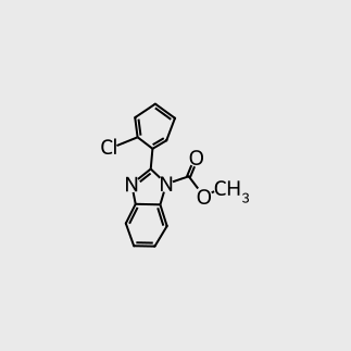 COC(=O)n1c(-c2ccccc2Cl)nc2ccccc21